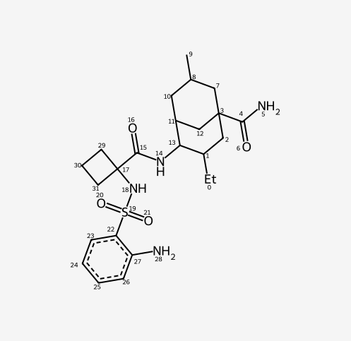 CCC1CC2(C(N)=O)CC(C)CC(C2)C1NC(=O)C1(NS(=O)(=O)c2ccccc2N)CCC1